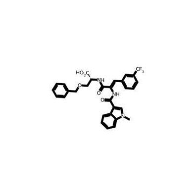 Cn1cc(C(=O)N/C(=C\c2cccc(C(F)(F)F)c2)C(=O)N[C@H](COCc2ccccc2)C(=O)O)c2ccccc21